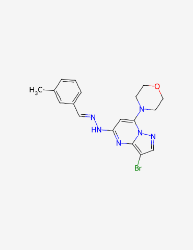 Cc1cccc(/C=N/Nc2cc(N3CCOCC3)n3ncc(Br)c3n2)c1